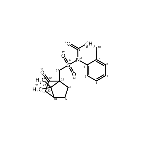 CC(=O)N(c1ccccc1I)S(=O)(=O)CC12CCC(CC1=O)C2(C)C